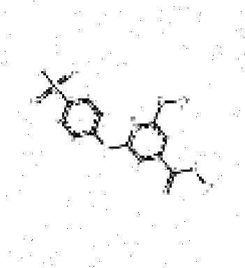 CC(C)OC(=O)c1cc(Oc2ccc(S(C)(=O)=O)cc2)nc(OC(C)C)c1